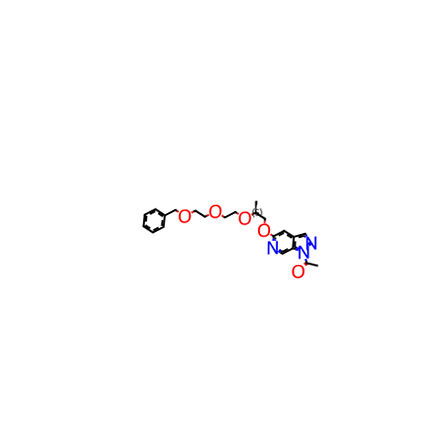 CC(=O)n1ncc2cc(OC[C@H](C)OCCOCCOCc3ccccc3)ncc21